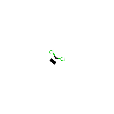 C#C.ClCCl